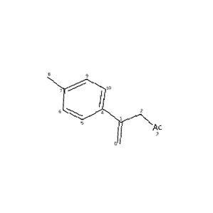 C=C(CC(C)=O)c1ccc(C)cc1